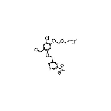 COCCOCOc1cc(OCc2cncc(S(C)(=O)=O)c2)c(C=O)cc1Cl